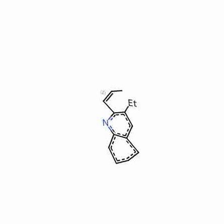 C/C=C\c1nc2ccccc2cc1CC